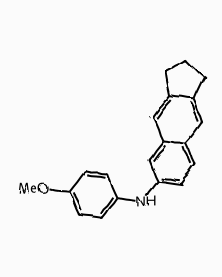 COc1ccc(Nc2ccc3cc4c([c]c3c2)CCC4)cc1